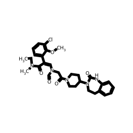 CCN(C)C(=O)/C(=C\N(C=O)CC(=O)N1CCC(N2CCc3ccccc3NC2=O)CC1)c1cccc(Cl)c1OC